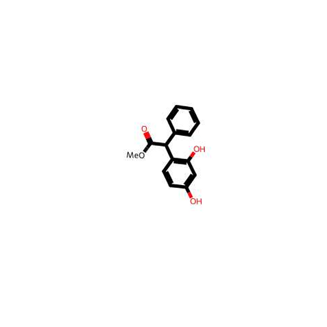 COC(=O)C(c1ccccc1)c1ccc(O)cc1O